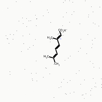 CC(C)=CC=C/C(C)=C/C(=O)O